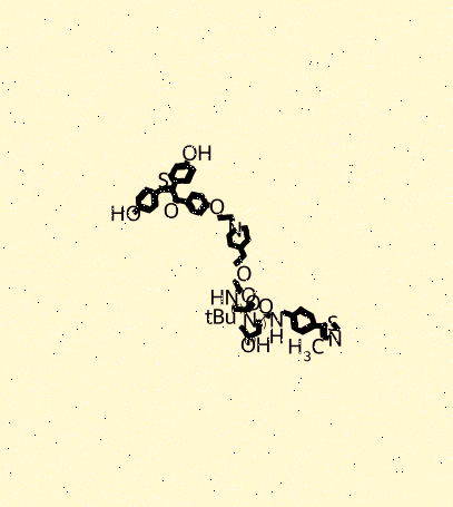 Cc1ncsc1-c1ccc(CNC(=O)[C@@H]2C[C@@H](O)CN2C(=O)[C@@H](NC(=O)COCCC2CCN(CCOc3ccc(C(=O)c4c(-c5ccc(O)cc5)sc5cc(O)ccc45)cc3)CC2)C(C)(C)C)cc1